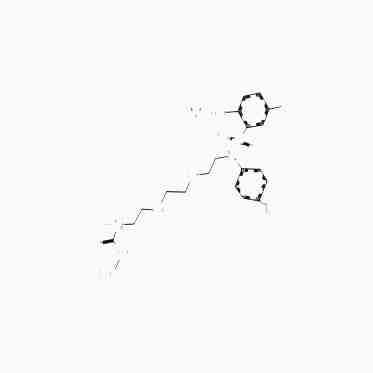 COc1ccc(C)cc1S(=O)(=O)N(CCOCCOCCNC(=O)OC(C)(C)C)c1ccc(Br)cc1